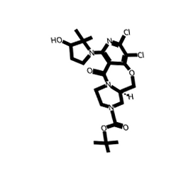 CC(C)(C)OC(=O)N1CCN2C(=O)c3c(N4CCC(O)C4(C)C)nc(Cl)c(Cl)c3OC[C@H]2C1